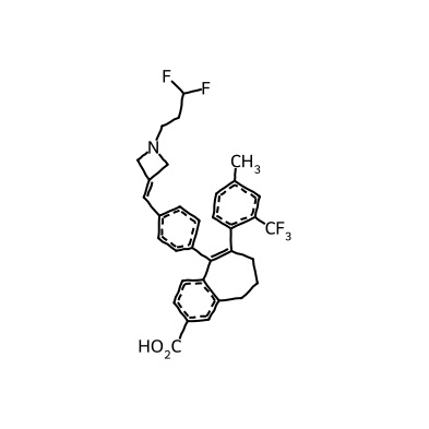 Cc1ccc(C2=C(c3ccc(C=C4CN(CCC(F)F)C4)cc3)c3ccc(C(=O)O)cc3CCC2)c(C(F)(F)F)c1